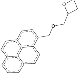 c1cc2ccc3ccc(COCC4CCO4)c4ccc(c1)c2c34